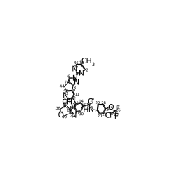 Cc1cnc(-n2cc3c(n2)-c2cc(-c4cc(C(=O)Nc5ccc(OC(F)(F)Cl)cc5)cc5nc6n(c45)[C@H](C)COC6)cnc2C3)nc1